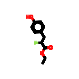 CCOC(=O)C(F)Cc1ccc(O)cc1